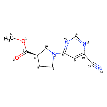 COC(=O)[C@@H]1CCN(c2cc(C#N)ncn2)C1